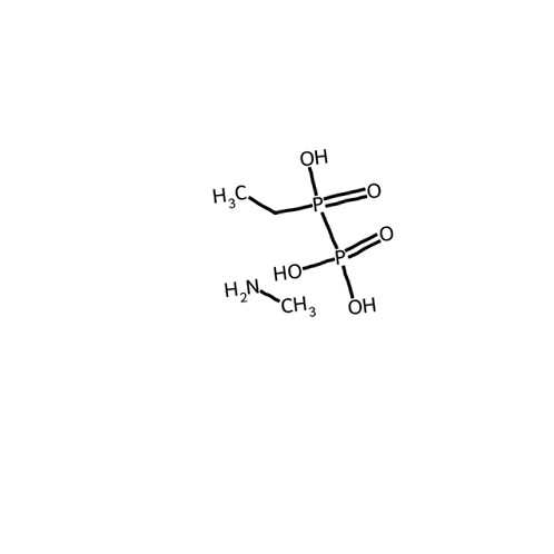 CCP(=O)(O)P(=O)(O)O.CN